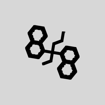 [CH2]CCC(CC)(c1cccc2ccccc12)c1cccc2ccccc12